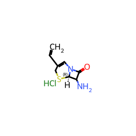 C=CC1=CN2C(=O)C(N)[C@H]2SC1.Cl